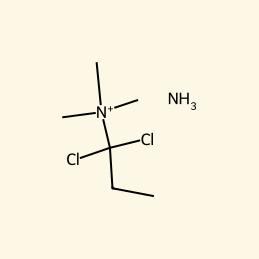 CCC(Cl)(Cl)[N+](C)(C)C.N